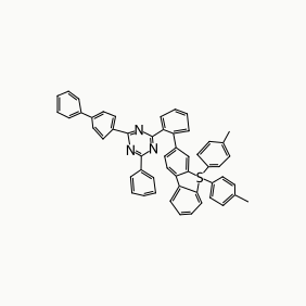 Cc1ccc(S2(c3ccc(C)cc3)c3ccccc3-c3ccc(-c4ccccc4-c4nc(-c5ccccc5)nc(-c5ccc(-c6ccccc6)cc5)n4)cc32)cc1